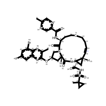 Cc1cnc(C(=O)N[C@H]2CCCCC/C=C\[C@@H]3C[C@@]3(C(=O)NS(=O)(=O)C3(C)CC3)NC(=O)[C@@H]3C[C@@H](Oc4nc5cc(F)cc(Br)c5nc4C)CN3C2=O)cn1